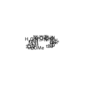 COC(=O)N[C@@H](C(=O)N[C@@H](C)c1ncc(-c2ccc(-c3ncc(-c4cnc([C@@H]5CCCN5C(=O)OC(C)(C)C)[nH]4)cn3)cc2)[nH]1)c1ccccc1